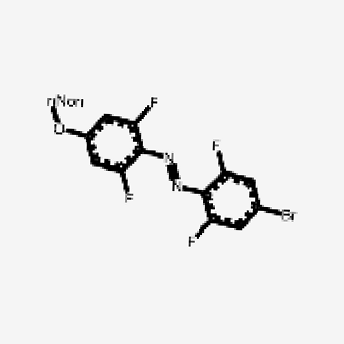 CCCCCCCCCOc1cc(F)c(N=Nc2c(F)cc(Br)cc2F)c(F)c1